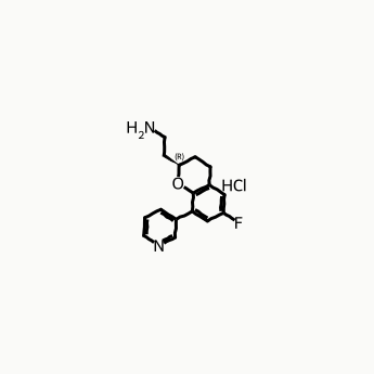 Cl.NCC[C@H]1CCc2cc(F)cc(-c3cccnc3)c2O1